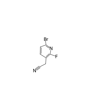 N#CCc1ccc(Br)nc1F